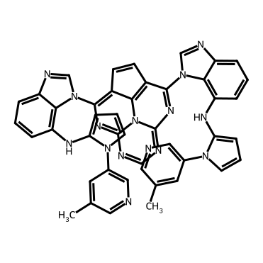 Cc1cncc(-n2cccc2Nc2cccc3ncn(-c4nc5ncnc6nc(-n7cnc8cccc(Nc9cccn9-c9cncc(C)c9)c87)c7ccc4c7n56)c23)c1